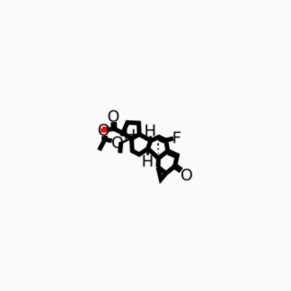 CC[C@]12CC[C@@H]3[C@@H](C=C(F)C4=CC(=O)C5CC5[C@]43C)[C@@H]1CC[C@@]2(OC(C)=O)C(C)=O